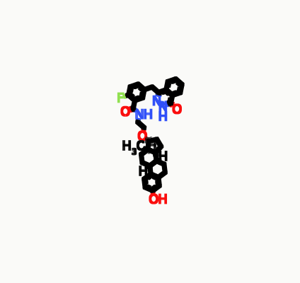 C[C@]12CC[C@@H]3c4ccc(O)cc4CC[C@H]3[C@@H]1CC[C@@H]2OCCNC(=O)c1cc(Cc2n[nH]c(=O)c3ccccc23)ccc1F